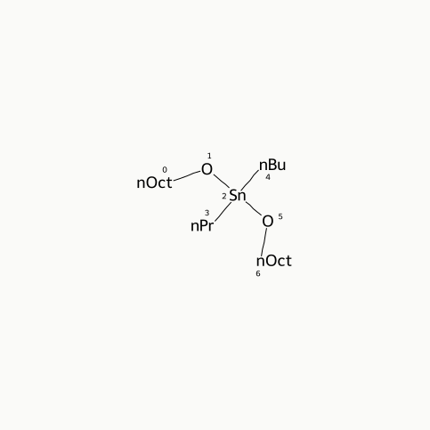 CCCCCCCC[O][Sn]([CH2]CC)([CH2]CCC)[O]CCCCCCCC